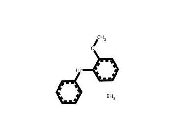 B.COc1ccccc1Pc1ccccc1